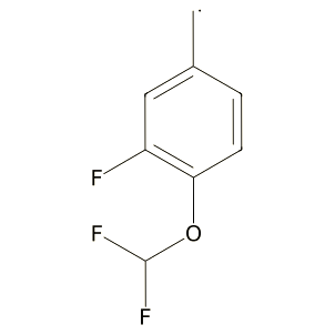 [CH2]c1ccc(OC(F)F)c(F)c1